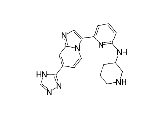 c1cc(NC2CCCNC2)nc(-c2cnc3cc(-c4nnc[nH]4)ccn23)c1